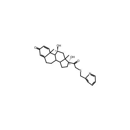 CC12C=CC(=O)C=C1CCC1C2[C@@H](O)CC2(C)C1CC[C@]2(O)C(=O)CSCc1ccccn1